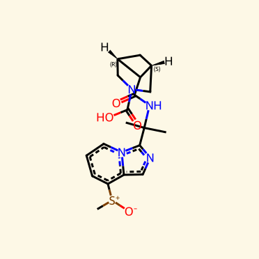 C[S+]([O-])c1cccn2c(C(C)(C)NC(=O)C3[C@@H]4C[C@H]3CN(C(=O)O)C4)ncc12